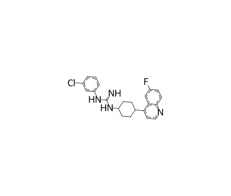 N=C(Nc1cccc(Cl)c1)NC1CCC(c2ccnc3ccc(F)cc23)CC1